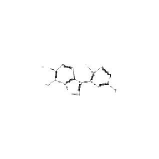 Oc1ccc2c(-c3cc(F)ccc3F)noc2c1Cl